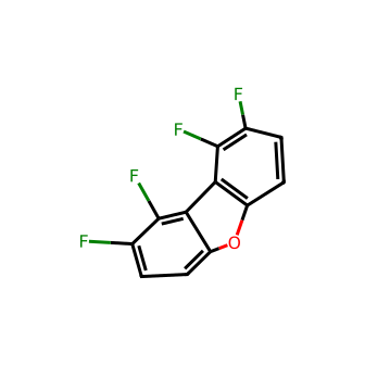 Fc1ccc2oc3ccc(F)c(F)c3c2c1F